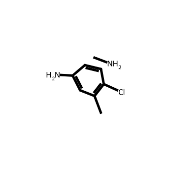 CN.Cc1cc(N)ccc1Cl